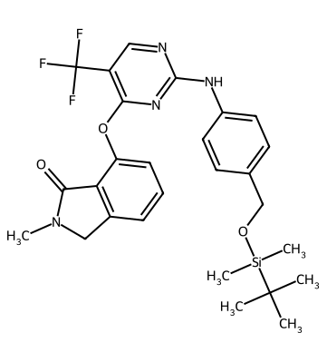 CN1Cc2cccc(Oc3nc(Nc4ccc(CO[Si](C)(C)C(C)(C)C)cc4)ncc3C(F)(F)F)c2C1=O